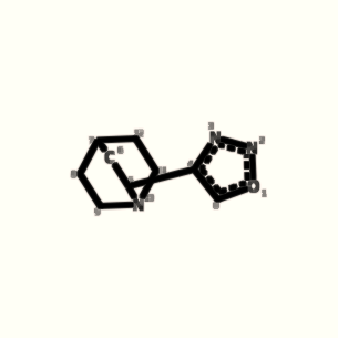 c1onnc1C1CC2CCN1CC2